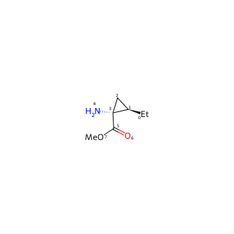 CC[C@@H]1C[C@]1(N)C(=O)OC